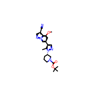 COc1cc(-c2cnn([C@H]3CCCN(C(=O)OC(C)(C)C)C3)c2C)cn2ncc(C#N)c12